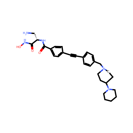 NC[C@H](NC(=O)c1ccc(C#Cc2ccc(CN3CCC(N4CCCCC4)CC3)cc2)cc1)C(=O)NO